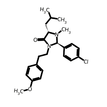 COc1ccc(CCN2C(=O)[C@H](CC(C)C)N(C)[C@H]2c2ccc(Cl)cc2)cc1